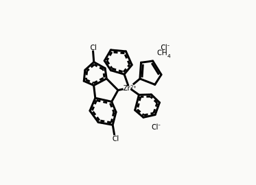 C.Clc1ccc2c(c1)[CH]([Zr+2]([C]1=CC=CC1)([c]1ccccc1)[c]1ccccc1)c1cc(Cl)ccc1-2.[Cl-].[Cl-]